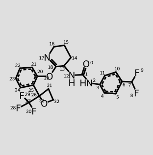 O=C(Nc1ccc(C(F)F)cc1)NC1CCCN=C1Oc1ccccc1C1(C(F)(F)F)CCO1